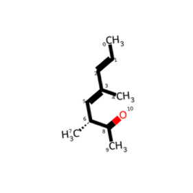 C/C=C/C(C)=C/[C@@H](C)C(C)=O